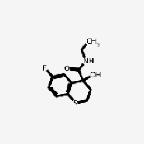 CCNC(=O)C1(O)CCSc2ccc(F)cc21